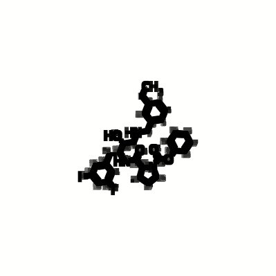 CCc1cccc(CNC[C@H](O)[C@@H](Cc2cc(F)cc(F)c2)NC(=O)C2CCCN2C(=O)Oc2ccccc2)c1